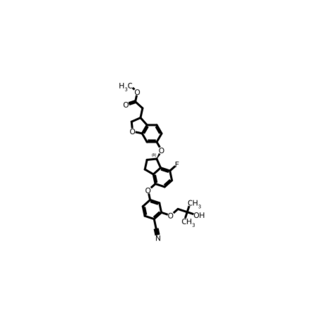 COC(=O)CC1COc2cc(O[C@@H]3CCc4c(Oc5ccc(C#N)c(OCC(C)(C)O)c5)ccc(F)c43)ccc21